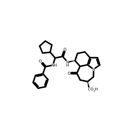 O=C(NC(C(=O)N[C@H]1CCc2ccn3c2C1C(=O)C[C@H](C(=O)O)C3)C1CCCC1)c1ccccc1